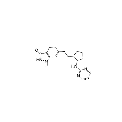 O=c1[nH][nH]c2cc(CCC3CCCC3Nc3nccnn3)ccc12